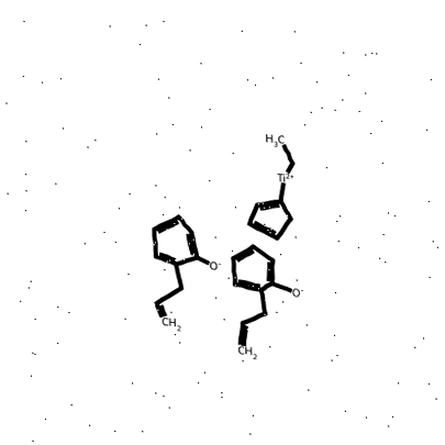 C=CCc1ccccc1[O-].C=CCc1ccccc1[O-].C[CH2][Ti+2][C]1=CC=CC1